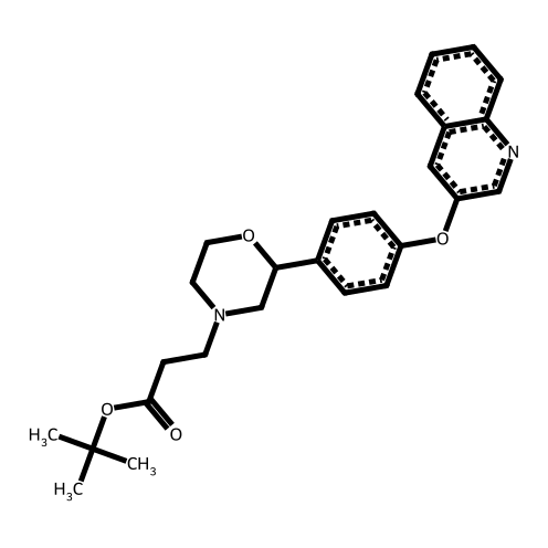 CC(C)(C)OC(=O)CCN1CCOC(c2ccc(Oc3cnc4ccccc4c3)cc2)C1